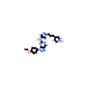 CCOc1ccc(-n2nnc3cnc(Nc4cnn(CCCC5CCNCC5)c4)nc32)cc1